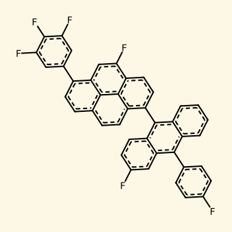 Fc1ccc(-c2c3ccccc3c(-c3ccc4c(F)cc5c(-c6cc(F)c(F)c(F)c6)ccc6ccc3c4c65)c3ccc(F)cc23)cc1